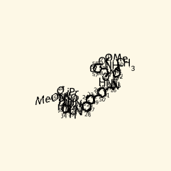 COC(=O)NC(C(=O)N1C2C(C)C2C[C@H]1c1ncc(-c2ccc(-c3ccc4c(ccc5nc([C@@H]6[C@H]7CC[C@H](C7)N6C(=O)[C@@H](NC(=O)OC)C(C)C)[nH]c54)c3)cc2)[nH]1)C1CCOCC1